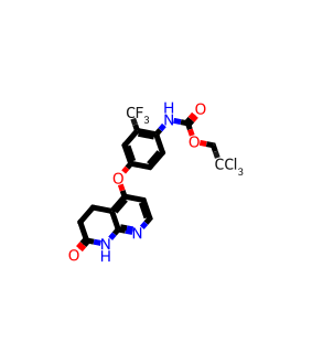 O=C1CCc2c(Oc3ccc(NC(=O)OCC(Cl)(Cl)Cl)c(C(F)(F)F)c3)ccnc2N1